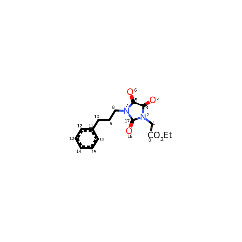 CCOC(=O)CN1C(=O)C(=O)N(CCCc2ccccc2)C1=O